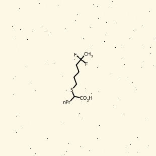 CCCC(SCCCCC(C)(F)F)C(=O)O